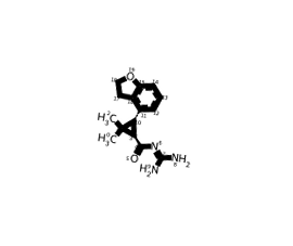 CC1(C)[C@H](C(=O)N=C(N)N)[C@H]1c1cccc2c1CCO2